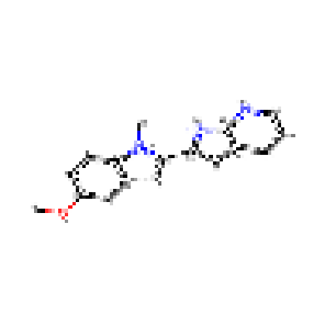 COc1ccc2c(c1)cc(-c1cc3cccnc3[nH]1)n2C